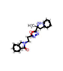 C[C@@](N)(Cc1ccccc1)c1nnc(CCN2Cc3ccccc3C2=O)o1